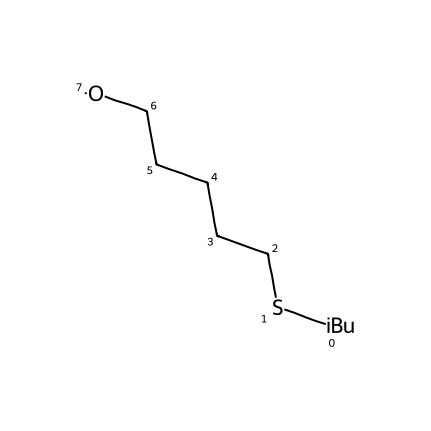 CCC(C)SCCCCC[O]